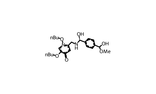 CCCCOc1cn(OCCCC)c(CN[C@@H](O)c2ccc(C(O)OC)cc2)cc1=O